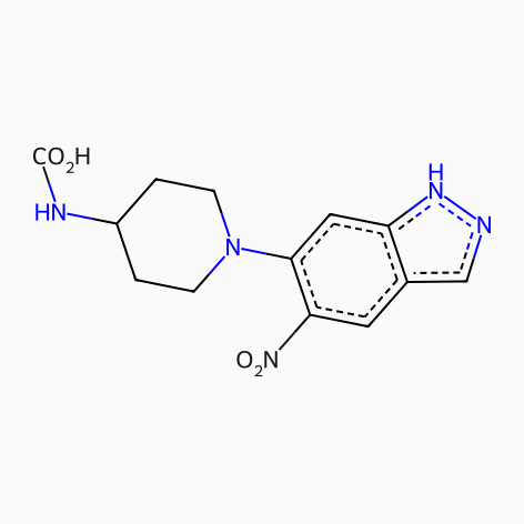 O=C(O)NC1CCN(c2cc3[nH]ncc3cc2[N+](=O)[O-])CC1